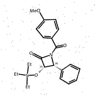 CC[Si](CC)(CC)O[C@@H]1C(=O)N(C(=O)c2ccc(OC)cc2)[C@@H]1c1ccccc1